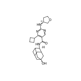 O=C(N[C@H]1C2CC3CC1C[C@@](O)(C3)C2)c1cnc(N[C@H]2CCOC2)nc1C1CCC1